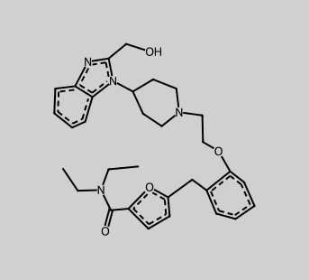 CCN(CC)C(=O)c1ccc(Cc2ccccc2OCCN2CCC(n3c(CO)nc4ccccc43)CC2)o1